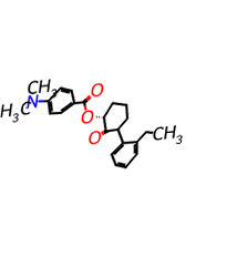 CCc1ccccc1C1CCC[C@@H](OC(=O)c2ccc(N(C)C)cc2)C1=O